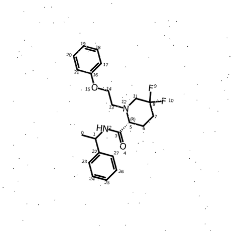 CC(NC(=O)[C@H]1CCC(F)(F)CN1CCOc1ccccc1)c1ccccc1